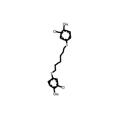 Oc1ccc(SCCCCCCSc2ccc(O)c(Cl)c2)cc1Cl